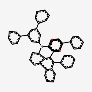 c1ccc(-c2ccc(N(c3cc(-c4ccccc4)cc(-c4ccccc4)c3)c3cccc4c3c(-c3ccccc3)c(-c3ccccc3)c3ccccc34)cc2)cc1